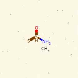 C.N[SH](=O)=S